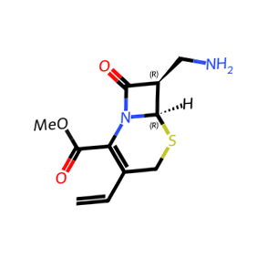 C=CC1=C(C(=O)OC)N2C(=O)[C@@H](CN)[C@H]2SC1